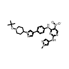 Cn1cc(Nc2ncc([N+](=O)[O-])c(Nc3ccc(-c4cnn(C5CCN(OC(C)(C)C)CC5)c4)cc3)n2)cn1